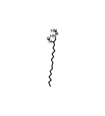 CCCCCCCCCCCCCCCC(CNN=N)N=O